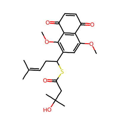 COc1cc(C(CC=C(C)C)SC(=O)CC(C)(C)O)c(OC)c2c1C(=O)C=CC2=O